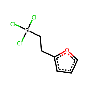 Cl[Si](Cl)(Cl)CCc1ccco1